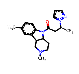 Cc1ccc2c(c1)C1CN(C)CCC1N2C(=O)C[C@@H](n1cccn1)C(F)(F)F